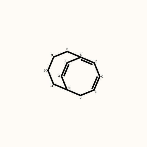 C1=CCC2C=CC(=C1)CCCC2